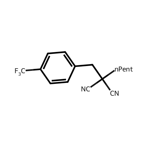 CCCCCC(C#N)(C#N)Cc1ccc(C(F)(F)F)cc1